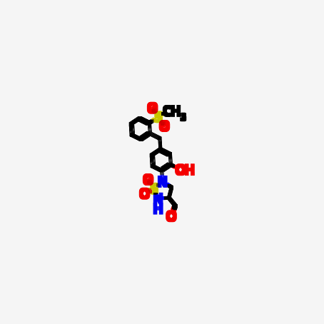 CS(=O)(=O)c1ccccc1Cc1ccc(N2CC(C=O)NS2(=O)=O)c(O)c1